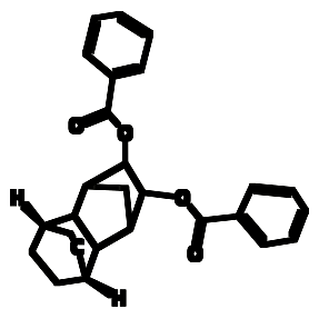 O=C(OC1C(OC(=O)c2ccccc2)C2CC1C1C2[C@H]2CC[C@@H]1CC2)c1ccccc1